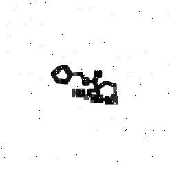 O=C(O)C1(C(=O)OCc2ccccc2)CCCNN1